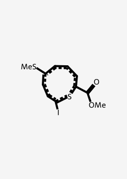 COC(=O)c1cccc(SC)ccc(I)s1